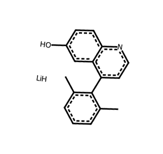 Cc1cccc(C)c1-c1ccnc2ccc(O)cc12.[LiH]